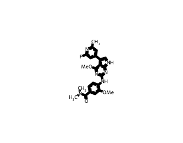 COc1cc(C(=O)N(C)C)ccc1Nc1nc(OC)c2c(-c3cc(C)nc(F)c3)c[nH]c2n1